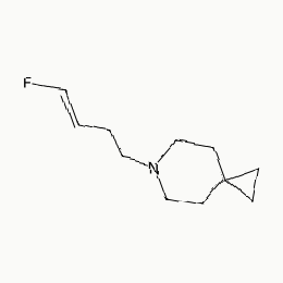 F/C=C/CCN1CCC2(CC1)CC2